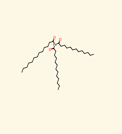 CCCCCCCCCCCC[C](=O)[Fe]([C](=O)CCCCCCCCCCCC)[C](=O)CCCCCCCCCCCC